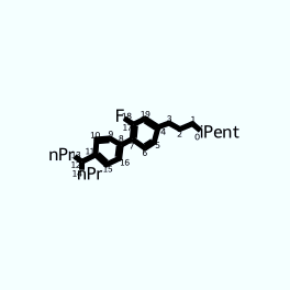 CCCC(C)CCCc1ccc(-c2ccc(C(CCC)CCC)cc2)c(F)c1